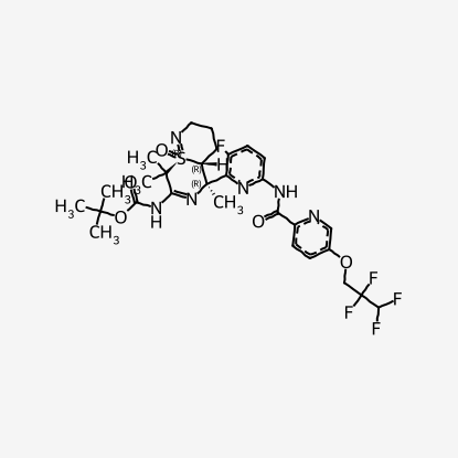 CC(C)(C)OC(=O)NC1=N[C@](C)(c2nc(NC(=O)c3ccc(OCC(F)(F)C(F)F)cn3)ccc2F)[C@H]2CCCN=[S@]2(=O)C1(C)C